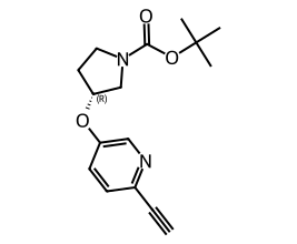 C#Cc1ccc(O[C@@H]2CCN(C(=O)OC(C)(C)C)C2)cn1